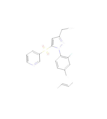 CNCc1cc(S(=O)(=O)c2cccnc2)n(-c2ccc(C)cc2F)n1.O=C(O)/C=C/C(=O)O